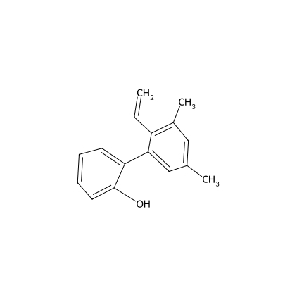 C=Cc1c(C)cc(C)cc1-c1ccccc1O